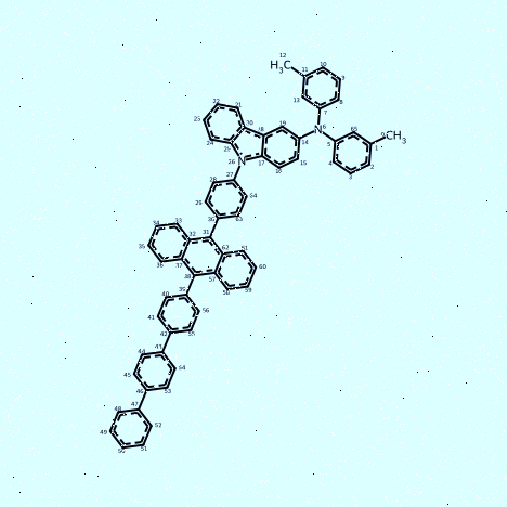 Cc1cccc(N(c2cccc(C)c2)c2ccc3c(c2)c2ccccc2n3-c2ccc(-c3c4ccccc4c(-c4ccc(-c5ccc(-c6ccccc6)cc5)cc4)c4ccccc34)cc2)c1